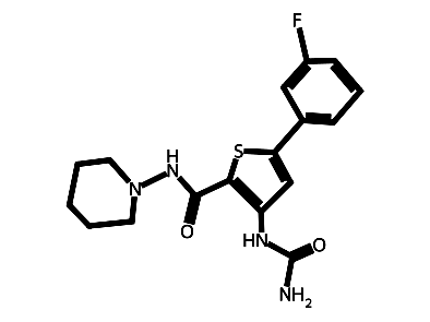 NC(=O)Nc1cc(-c2cccc(F)c2)sc1C(=O)NN1CCCCC1